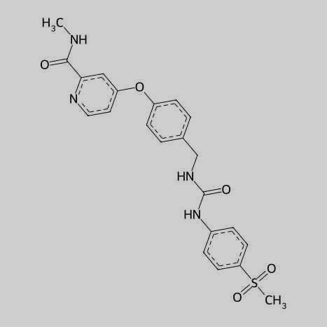 CNC(=O)c1cc(Oc2ccc(CNC(=O)Nc3ccc(S(C)(=O)=O)cc3)cc2)ccn1